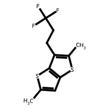 Cc1cc2sc(C)c(CCC(F)(F)F)c2s1